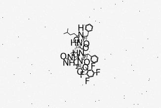 CC(C)CCC(=O)N[C@@H](Cc1ccccc1)C(=O)N[C@@H](CCCNC(N)=O)C(=O)N[C@@H](Cc1ccccc1)C(=O)N1CCC[C@H]1C(=O)Oc1c(F)c(F)cc(F)c1F